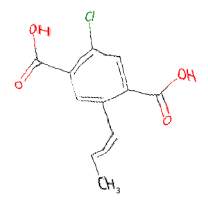 CC=Cc1cc(C(=O)O)c(Cl)cc1C(=O)O